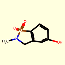 CN1Cc2cc(O)ccc2S1(=O)=O